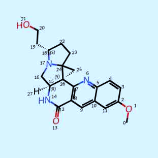 COc1ccc2nc3c(cc2c1)C(=O)N[C@H]1CN2[C@H](CCO)CCC24C[C@]314